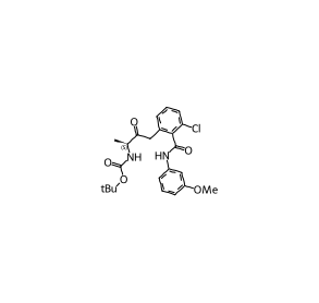 COc1cccc(NC(=O)c2c(Cl)cccc2CC(=O)[C@H](C)NC(=O)OC(C)(C)C)c1